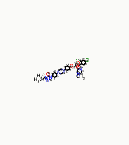 CCC(C)n1ncn(-c2ccc(N3CCN(c4ccc(OC[C@@H]5CO[C@@](CN6CCN(C)CC6)(c6ccc(Cl)cc6Cl)O5)cc4)CC3)cc2)c1=O